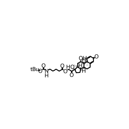 CC(C)(C)OC(=O)NCCCCC(=O)OCC(=O)[C@@]1(O)CC[C@H]2[C@@H]3CCC4=CC(=O)C=C[C@]4(C)[C@H]3[C@@H](O)C[C@@]21C